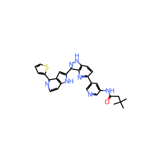 CC(C)(C)CC(=O)Nc1cncc(-c2ccc3[nH]nc(-c4cc5c(-c6cccs6)nccc5[nH]4)c3n2)c1